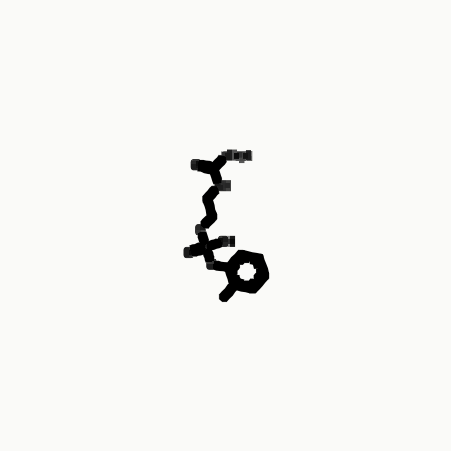 CCCCCCCC(=O)NCCOP(=O)(O)Oc1ccccc1C